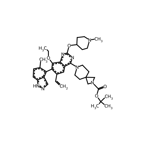 C=Cc1cc2c(N3CCC4(CC3)CN(C(=O)OC(C)(C)C)C4)nc(OC3CCN(C)CC3)nc2c(OCC)c1-c1c(C)ccc2[nH]ncc12